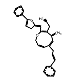 C#CC/C1=C(\C=C2/CC=C(c3ccccc3)S2)OC/C=C\C(C/C=C/c2ccccc2)=C/C1=C